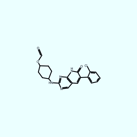 O=COC1CCC(Nc2ncc3cc(-c4ccccc4Cl)c(=O)[nH]c3n2)CC1